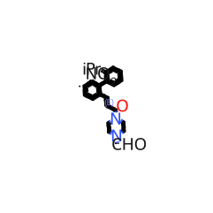 CC(C)c1ccccc1-c1c([N+](=O)[O-])[c]ccc1/C=C/C(=O)N1CCN(C=O)CC1